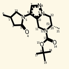 CC1CC(=O)N(c2cnn3c2CN(C(=O)OC(C)(C)C)[C@@H](C)C3)C1